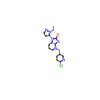 CCn1nccc1-n1c2cccn(Cc3ccc(Cl)nc3)c-2nc1=O